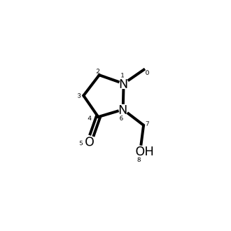 CN1CCC(=O)N1CO